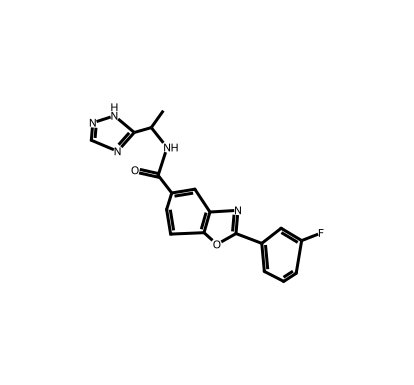 CC(NC(=O)c1ccc2oc(-c3cccc(F)c3)nc2c1)c1ncn[nH]1